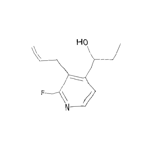 C=CCc1c(C(O)CC)ccnc1F